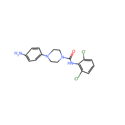 Nc1ccc(N2CCN(C(=O)Nc3c(Cl)cccc3Cl)CC2)cc1